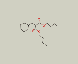 CCCCOC(=O)C(CC1CCCCC1)C(=O)OCCCC